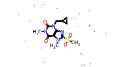 Cn1c(=O)c2c(nc(S(C)(=O)=O)n2C)n(CC2CC2)c1=O